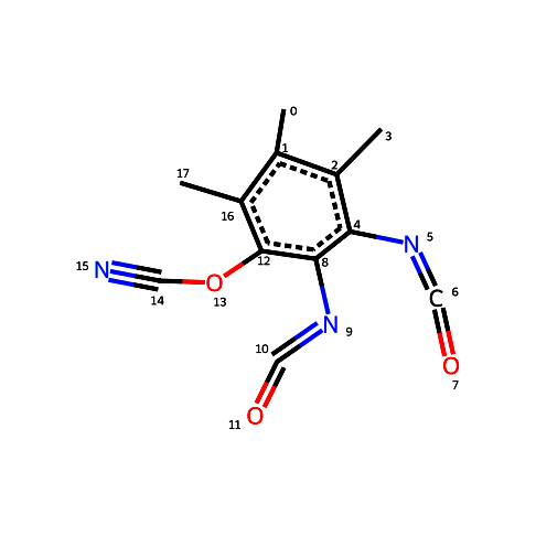 Cc1c(C)c(N=C=O)c(N=C=O)c(OC#N)c1C